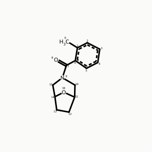 Cc1ccccc1C(=O)N1CC2CCC(C1)O2